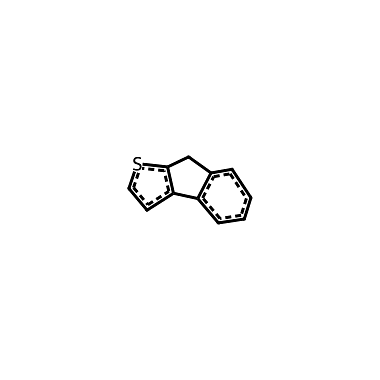 c1ccc2c(c1)Cc1sccc1-2